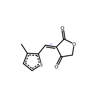 Cc1ccsc1/C=C1\C(=O)COC1=O